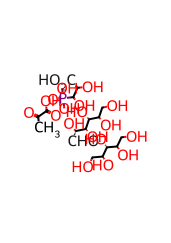 CC(=O)C(=O)O.O=C(O)C(O)C(O)P(=O)(O)O.O=C[C@H](O)[C@@H](O)[C@H](O)[C@H](O)CO.OC[C@@H](O)[C@@H](O)[C@@H](O)CO